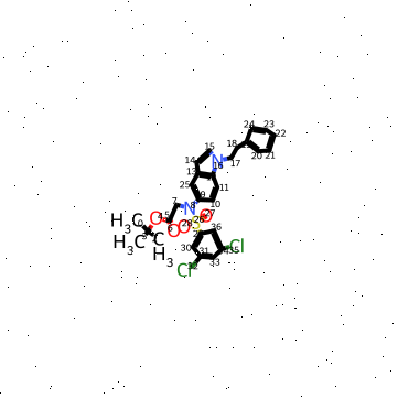 CC(C)(C)OC(=O)CN(c1ccc2c(ccn2CCc2ccccc2)c1)S(=O)(=O)c1cc(Cl)cc(Cl)c1